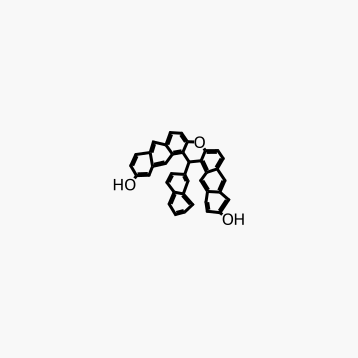 Oc1ccc2cc3c4c(ccc3cc2c1)Oc1ccc2cc3ccc(O)cc3cc2c1C4c1ccc2ccccc2c1